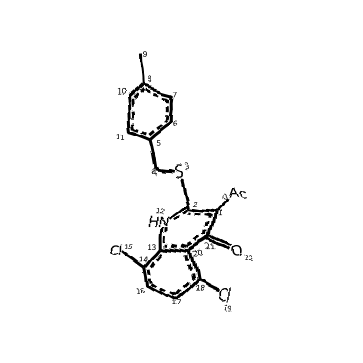 CC(=O)c1c(SCc2ccc(C)cc2)[nH]c2c(Cl)ccc(Cl)c2c1=O